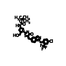 CC(C)(C)OC(=O)NC1CC(CO)N(C2=NC(=O)C(=Cc3ccc4c(cnn4Cc4ccc(Cl)cc4C(F)(F)F)c3)S2)C1